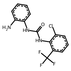 Nc1ccccc1NC(=O)Nc1c(Cl)cccc1C(F)(F)F